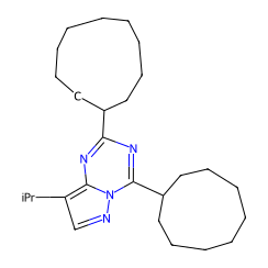 CC(C)c1cnn2c(C3CCCCCCCC3)nc(C3CCCCCCCCC3)nc12